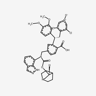 COc1ccc([C@H](Cc2c(Cl)c[n+]([O-])cc2Cl)c2cc(CN(C(=O)O[C@H]3CN4CCC3CC4)c3cccc4cn[nH]c34)ccc2C(=O)O)cc1OC